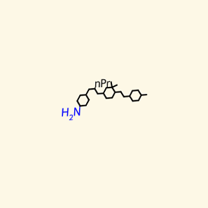 CCCC(CC1CCC(N)CC1)CC1CCC(CCC2CCC(C)CC2)C(C)(C)C1